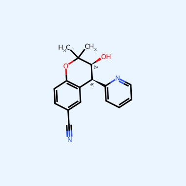 CC1(C)Oc2ccc(C#N)cc2[C@H](c2ccccn2)[C@@H]1O